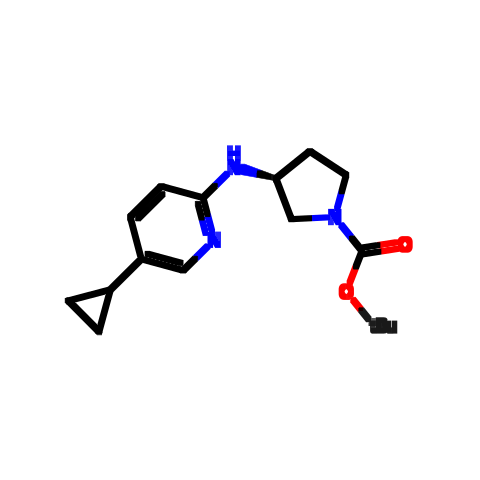 CC(C)(C)OC(=O)N1CC[C@H](Nc2ccc(C3CC3)cn2)C1